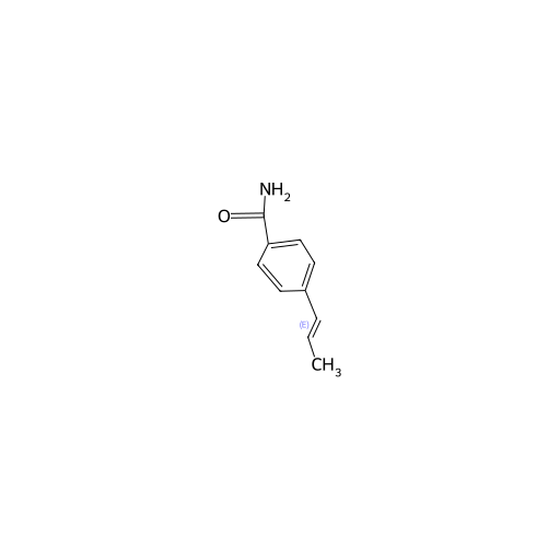 C/C=C/c1ccc(C(N)=O)cc1